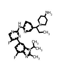 CCC(c1ccc(Nc2ncc(F)c(-c3cc(F)c4nc(C)n(C(C)C)c4c3)n2)nc1)N1CCC(N)CC1